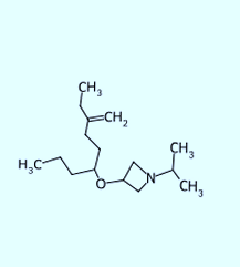 C=C(CC)CCC(CCC)OC1CN(C(C)C)C1